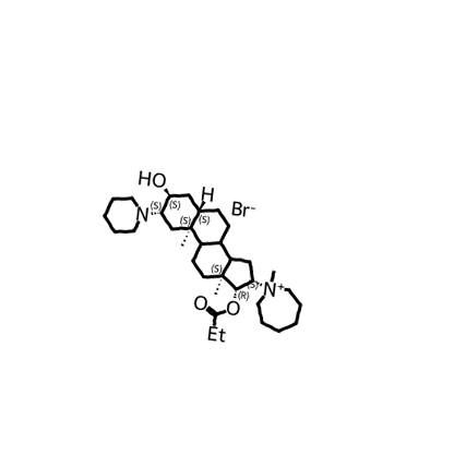 CCC(=O)O[C@H]1[C@@H]([N+]2(C)CCCCCC2)CC2C3CC[C@H]4C[C@H](O)[C@@H](N5CCCCC5)C[C@]4(C)C3CC[C@@]21C.[Br-]